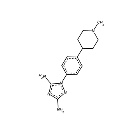 CN1CCC(c2ccc(-n3nc(N)nc3N)cc2)CC1